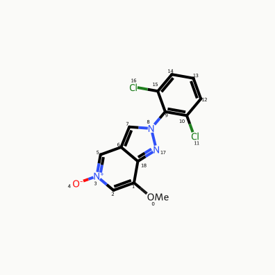 COc1c[n+]([O-])cc2cn(-c3c(Cl)cccc3Cl)nc12